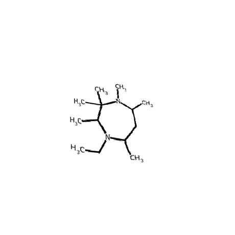 CCN1C(C)CC(C)N(C)C(C)(C)C1C